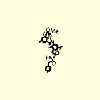 COc1cnc2c(-c3nc4cc(F)c5c(c4s3)C[C@H](CNC(=O)Cc3ccccc3)O5)cc(C)cc2n1